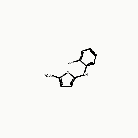 CCOC(=O)c1ccc(Nc2ccccc2C(C)=O)s1